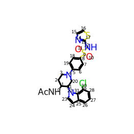 CC(=O)NC1CCN(c2ccc(S(=O)(=O)Nc3nccs3)cc2)CC1n1ccc2cccc(Cl)c21